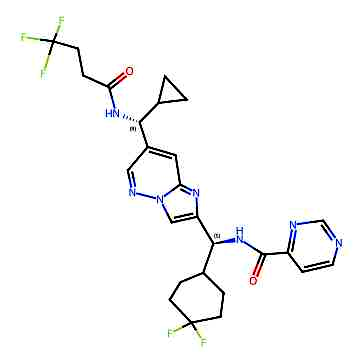 O=C(CCC(F)(F)F)N[C@@H](c1cnn2cc([C@@H](NC(=O)c3ccncn3)C3CCC(F)(F)CC3)nc2c1)C1CC1